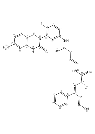 Cc1ccc(NC(O)C/C=C/NC(=O)[C@H](C)/N=C(\C=C\O)c2ccccc2)cc1N1Cc2cnc(N)nc2NC1=O